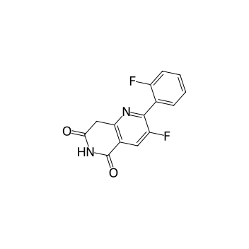 O=C1Cc2nc(-c3ccccc3F)c(F)cc2C(=O)N1